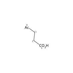 CC(=O)[CH]CC(=O)O